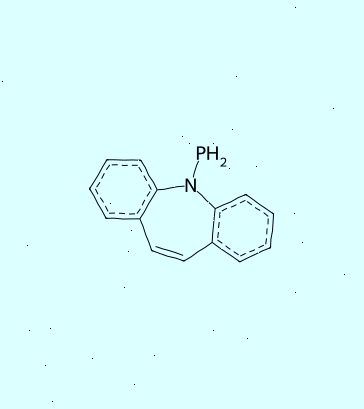 PN1c2ccccc2C=Cc2ccccc21